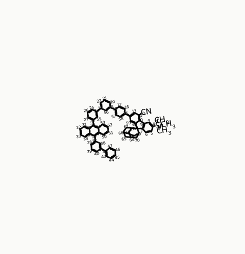 C[Si](C)(C)c1ccc2c(c1)-c1c(C#N)cc(-c3ccc(-c4cccc(-c5cccc(-c6c7ccccc7c(-c7cccc(-c8ccccc8)c7)c7ccccc67)c5)c4)cc3)cc1C21C2CC3CC(C2)CC1C3